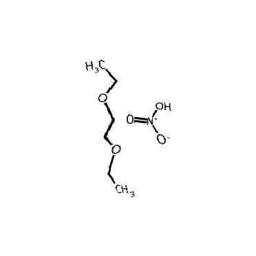 CCOCCOCC.O=[N+]([O-])O